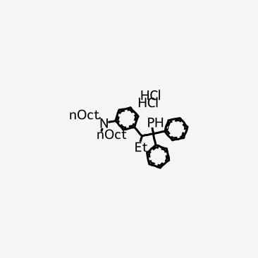 CCCCCCCCN(CCCCCCCC)c1cccc(C(CC)C(P)(c2ccccc2)c2ccccc2)c1.Cl.Cl